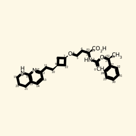 C=C(N[C@@H](CCO[C@H]1C[C@H](CCc2ccc3c(n2)NCCC3)C1)C(=O)O)O[C@@H](C)c1ccccc1